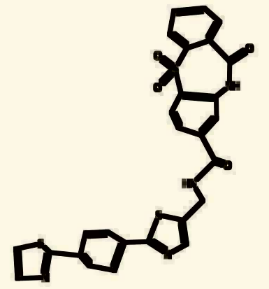 O=C(NCc1cnc(-c2ccc(-c3nccs3)cc2)s1)c1ccc2c(c1)NC(=O)c1ccccc1S2(=O)=O